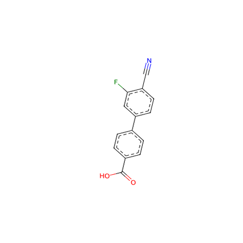 N#Cc1ccc(-c2ccc(C(=O)O)cc2)cc1F